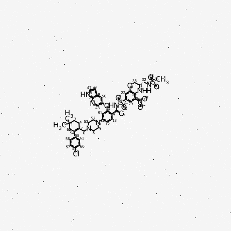 CC1(C)CCC(CN2CCN(c3ccc(C(=O)NS(=O)(=O)c4cc5c(c([N+](=O)[O-])c4)N[C@@H](CNS(C)(=O)=O)CO5)c(Oc4cnc5[nH]ccc5c4)c3)CC2)=C(c2ccc(Cl)cc2)C1